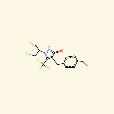 CCc1ccc(Cc2c(C(F)(F)F)n(C(CF)CF)[nH]c2=O)cc1